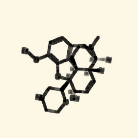 CCOc1ccc2c3c1O[C@@]1(C4CNCCO4)[C@@H](O)C=C[C@H]4[C@@H](C2)N(C)CC[C@@]341